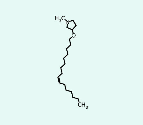 CCCCCC/C=C\CCCCCCCCOC1CCN(C)C1